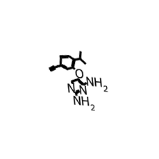 C#Cc1ccc(C(C)C)c(Oc2cnc(N)nc2N)c1